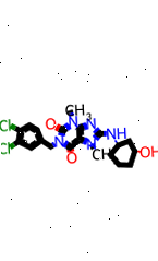 Cn1c(N[C@H]2CCC[C@@H](O)C2)nc2c1c(=O)n(Cc1ccc(Cl)c(Cl)c1)c(=O)n2C